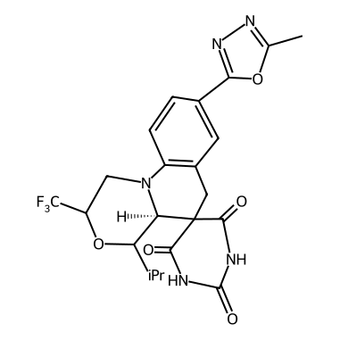 Cc1nnc(-c2ccc3c(c2)CC2(C(=O)NC(=O)NC2=O)[C@H]2C(C(C)C)OC(C(F)(F)F)CN32)o1